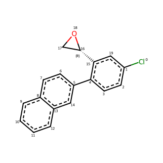 Clc1ccc(-c2ccc3ccccc3c2)c([C@@H]2CO2)c1